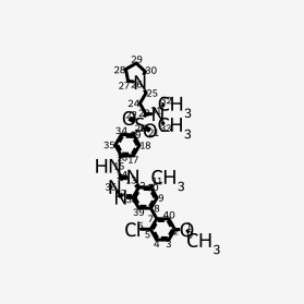 COc1ccc(Cl)c(-c2cc(C)c3nc(Nc4ccc(S(=O)(=O)C(CCN5CCCC5)N(C)C)cc4)nnc3c2)c1